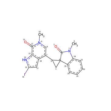 CN1C(=O)C2(CC2c2cn(C)c(=O)c3[nH]c(I)cc23)c2ccccc21